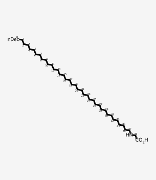 CCCCCCCCCCCCCCCCCCCCCCCCCCCCCCCCCCCCCCCCCCCCCCCNCC(=O)O